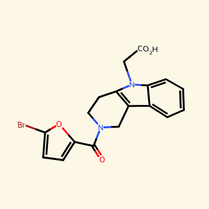 O=C(O)Cn1c2c(c3ccccc31)CN(C(=O)c1ccc(Br)o1)CC2